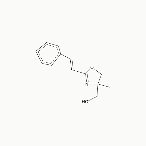 CC1(CO)COC(/C=C/c2ccccc2)=N1